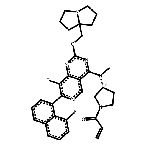 C=CC(=O)N1CC[C@@H](N(C)c2nc(OCC34CCCN3CCC4)nc3c(F)c(-c4cccc5cccc(F)c45)ncc23)C1